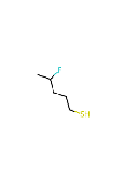 CC(F)CCCS